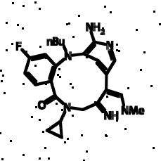 CCCCN1c2cc(F)ccc2C(=O)N(C2CC2)CC(=N)/C(=C\NC)c2cnc(N)c1c2